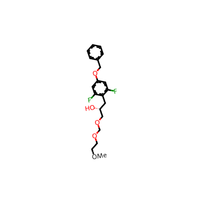 COCCOCOC[C@H](O)Cc1c(F)cc(OCc2ccccc2)cc1F